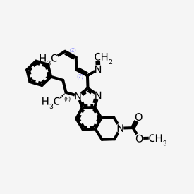 C=N/C(=C\C=C/C)c1nc2c3c(ccc2n1[C@H](C)Cc1ccccc1)CCN(C(=O)OC)C3